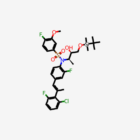 COc1cc(S(=O)(=O)N(c2ccc(/C=C(\C)c3c(F)cccc3Cl)cc2F)[C@H](C)[C@@H](O)CO[Si](C)(C)C(C)(C)C)ccc1F